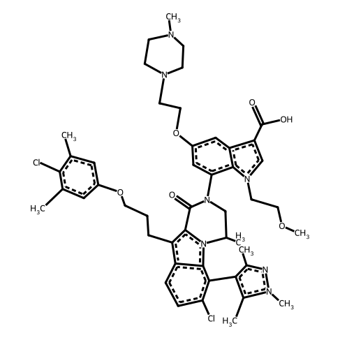 COCCn1cc(C(=O)O)c2cc(OCCN3CCN(C)CC3)cc(N3CC(C)n4c(c(CCCOc5cc(C)c(Cl)c(C)c5)c5ccc(Cl)c(-c6c(C)nn(C)c6C)c54)C3=O)c21